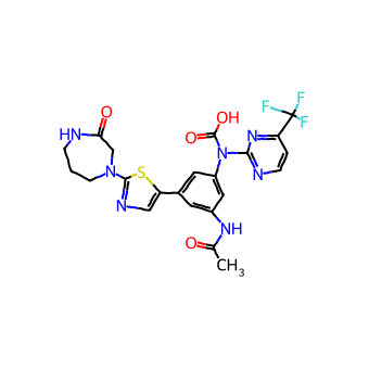 CC(=O)Nc1cc(-c2cnc(N3CCCNC(=O)C3)s2)cc(N(C(=O)O)c2nccc(C(F)(F)F)n2)c1